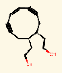 OCC[C@H]1CC#CC=CC#CC[C@H]1CCO